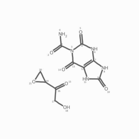 NC(=O)n1c(=O)[nH]c2[nH]c(=O)[nH]c2c1=O.O=C(CO)C1CO1